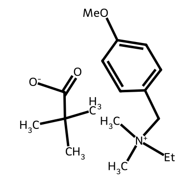 CC(C)(C)C(=O)[O-].CC[N+](C)(C)Cc1ccc(OC)cc1